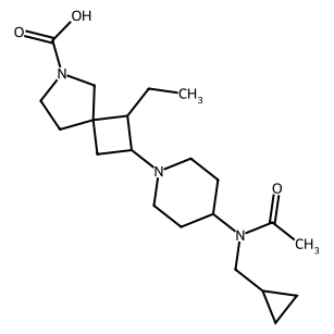 CCC1C(N2CCC(N(CC3CC3)C(C)=O)CC2)CC12CCN(C(=O)O)C2